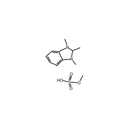 CC1N(C)c2ccccc2N1C.COS(=O)(=O)O